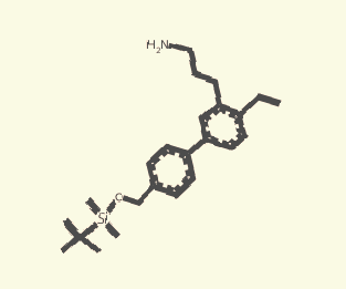 CCc1ccc(-c2ccc(CO[Si](C)(C)C(C)(C)C)cc2)cc1CCCN